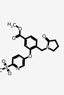 COC(=O)c1ccc(CN2CCCC2=O)c(Oc2ccc(S(C)(=O)=O)nc2)c1